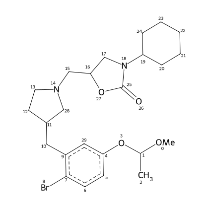 COC(C)Oc1ccc(Br)c(CC2CCN(CC3CN(C4CCCCC4)C(=O)O3)C2)c1